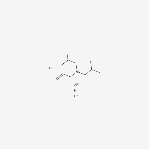 C=C[CH2][Al]([CH2]C(C)C)[CH2]C(C)C.[Al+3].[H-].[H-].[H-]